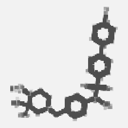 CN(c1ccc(CN2CCN(C(=O)O)[C@@](C)(C(C)(C)C)C2)cc1)S(=O)(=O)c1ccc(-c2ccc(F)cc2)cc1